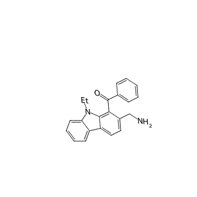 CCn1c2ccccc2c2ccc(CN)c(C(=O)c3ccccc3)c21